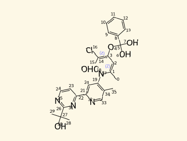 C/C(=C/C(OC(O)(O)c1ccccc1)=C(\C)Cl)N(C=O)c1cc(-c2ccnc(C(C)(C)O)n2)ncc1C